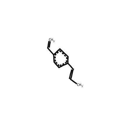 C=Cc1ccc(/[C]=C/C)cc1